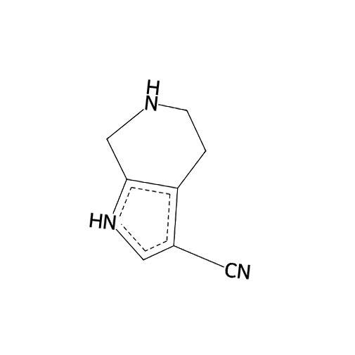 N#Cc1c[nH]c2c1CCNC2